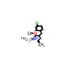 C=CCC(Cc1ccc(Cl)cc1)C(NC(=O)O)OCC